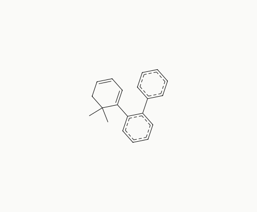 CC1(C)CC=CC=C1c1ccccc1-c1ccccc1